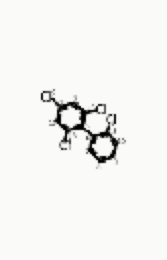 Clc1[c]c(Cl)c(-c2ccccc2Cl)c(Cl)c1